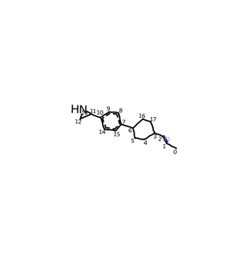 C/C=C/C1CCC(c2ccc(C3CN3)cc2)CC1